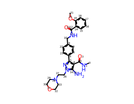 CNC(=O)c1c(-c2ccc(CNC(=O)c3ccccc3OC)cc2)nn(CCN2CCOCC2)c1N